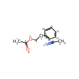 CC#N.CCOC(C)=O.c1ccccc1